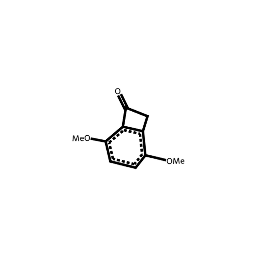 COc1ccc(OC)c2c1CC2=O